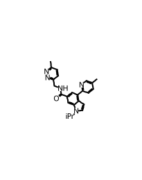 Cc1ccc(-c2cc(C(=O)NCc3ccc(C)nn3)cc3c2ccn3C(C)C)nc1